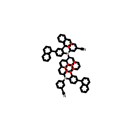 N#Cc1cccc(N(C2=C3C=CC4=C5C(=CC=C(C=C2)C35)C(N(c2cccc(C#N)c2)c2ccc(-c3cccc5ccccc35)cc2-c2cccc3ccccc23)C=C4)c2ccc(-c3cccc4ccccc34)cc2-c2cccc3ccccc23)c1